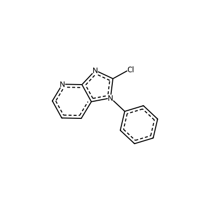 Clc1nc2ncccc2n1-c1ccccc1